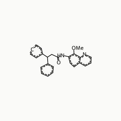 COc1c(NC(=O)CC(c2ccccc2)c2ccccc2)ccc2cccnc12